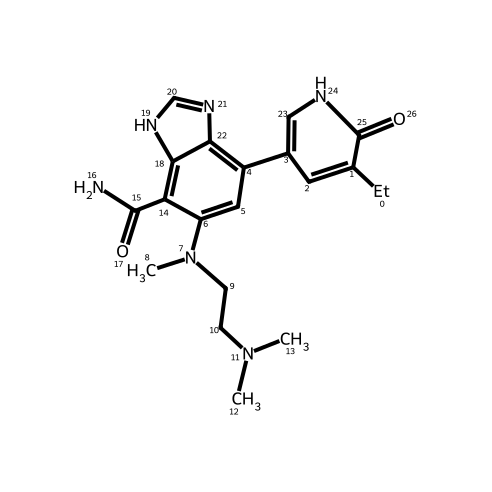 CCc1cc(-c2cc(N(C)CCN(C)C)c(C(N)=O)c3[nH]cnc23)c[nH]c1=O